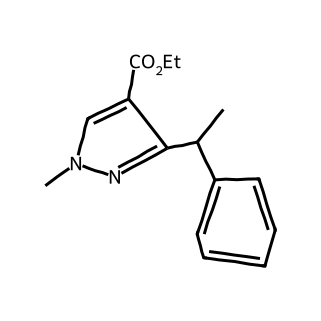 CCOC(=O)c1cn(C)nc1C(C)c1ccccc1